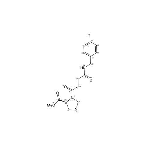 COC(=O)[C@@H]1CSCN1C(=O)CCC(=O)NCc1ccc(C)cc1